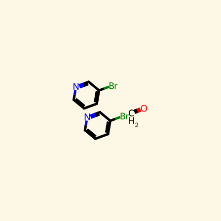 Brc1cccnc1.Brc1cccnc1.C=O